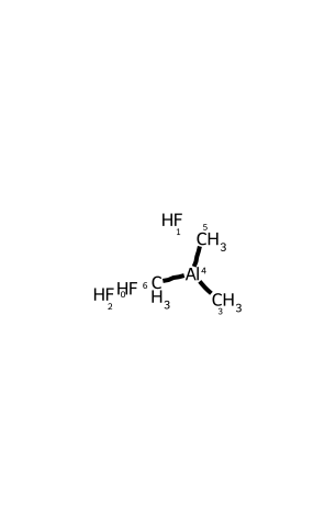 F.F.F.[CH3][Al]([CH3])[CH3]